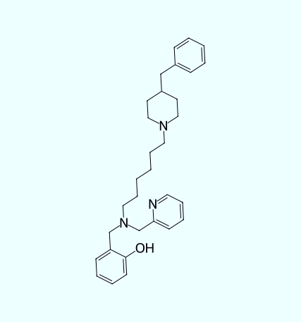 Oc1ccccc1CN(CCCCCCN1CCC(Cc2ccccc2)CC1)Cc1ccccn1